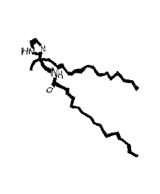 CCCCCCCCCCCCCCCC(=O)NCC(CC)(CCCCCCCCCCCCCC)C1=NCCN1